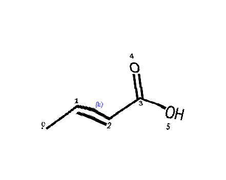 [CH2]/C=C/C(=O)O